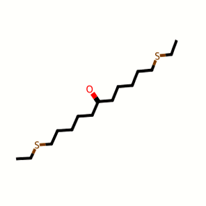 CCSCCCCCC(=O)CCCCCSCC